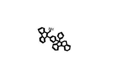 N=Cc1c(-c2ccc(C3(c4ccccc4)C4=C(C5=CCCC=C5CC4)c4ccccc43)cc2)c2c(c3ccccc13)=C=C=CC=2